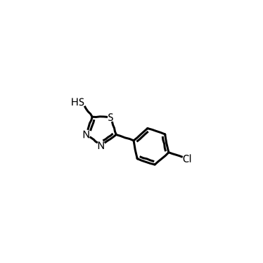 Sc1nnc(-c2ccc(Cl)cc2)s1